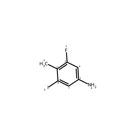 Cc1c(F)cc(N)cc1I